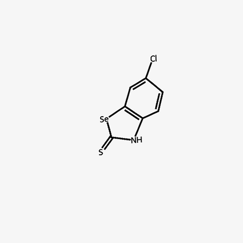 S=c1[nH]c2ccc(Cl)cc2[se]1